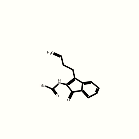 C=CCCC1=C(NC(=O)CCCC)C(=O)c2ccccc21